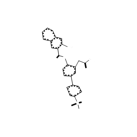 COc1cc2ccccc2cc1C(=O)Oc1ccc(-c2ccc(S(C)(=O)=O)cc2)cc1CC(N)=O